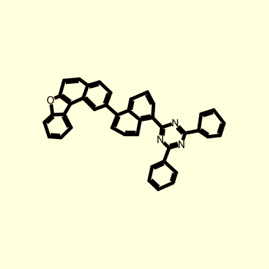 c1ccc(-c2nc(-c3ccccc3)nc(-c3cccc4c(-c5ccc6ccc7oc8ccccc8c7c6c5)cccc34)n2)cc1